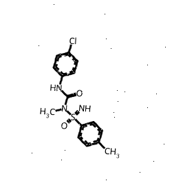 Cc1ccc(S(=N)(=O)N(C)C(=O)Nc2ccc(Cl)cc2)cc1